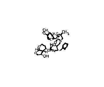 COc1ccc(S(=O)(=O)N(CC(C)C)C[C@@H](O)[C@H](Cc2ccccc2)NC(=O)O[C@H]2CCO[C@H]3OC[C@H](O)[C@H]32)cc1